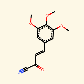 COc1cc(C=CC(=O)C#N)cc(OC)c1OC